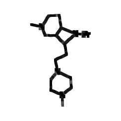 CC(C)N1C2CCN(C)CC2C1CCN1CCN(C)CC1